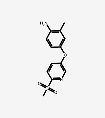 Cc1cc(Oc2ccc(S(C)(=O)=O)nc2)ccc1N